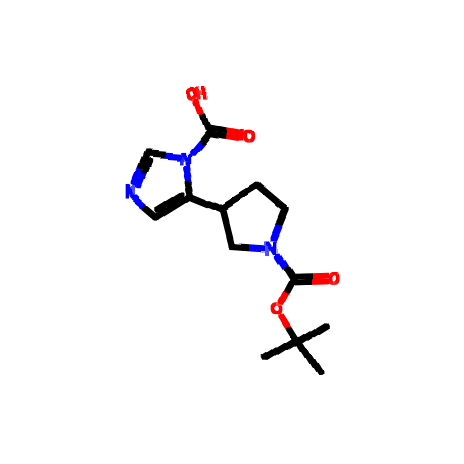 CC(C)(C)OC(=O)N1CCC(c2cncn2C(=O)O)C1